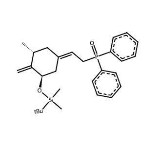 C=C1[C@H](C)C/C(=C/CP(=O)(c2ccccc2)c2ccccc2)C[C@H]1O[Si](C)(C)C(C)(C)C